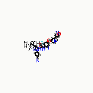 CC(C)(C)c1cc(NC(=O)Nc2ccc(Oc3ccnc(-c4cnoc4)c3)cc2F)n(-c2ccc(C#N)cc2)n1